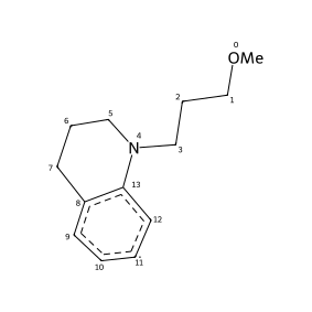 COCCCN1CCCc2cc[c]cc21